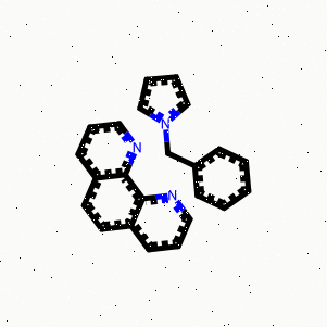 c1ccc(Cn2cccc2)cc1.c1cnc2c(c1)ccc1cccnc12